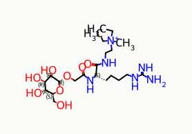 CC[N+](C)(CC)CCNC(=O)[C@H](CCCCNC(=N)N)NC(=O)CO[C@@H]1O[C@@H](CO)[C@H](O)[C@@H](O)[C@H]1O